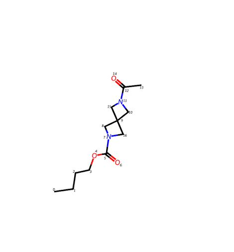 CCCCOC(=O)N1CC2(CN(C(C)=O)C2)C1